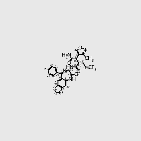 Cc1nocc1[C@H](C(N)=O)[C@@H](CCC(F)(F)F)C(=O)N[C@H]1N=C(c2ccccc2)c2cc3c(cc2NC1=O)OCO3